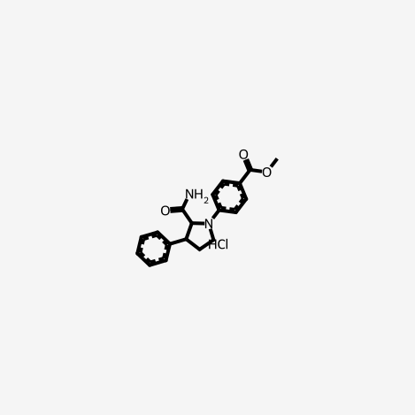 COC(=O)c1ccc(N2CCC(c3ccccc3)C2C(N)=O)cc1.Cl